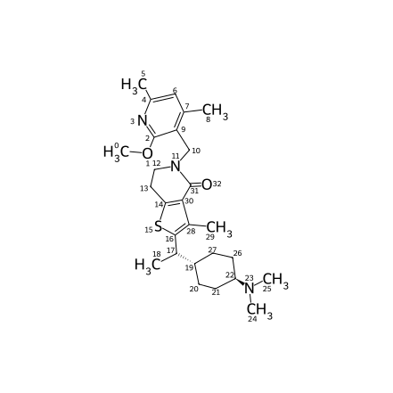 COc1nc(C)cc(C)c1CN1CCc2sc(C(C)[C@H]3CC[C@H](N(C)C)CC3)c(C)c2C1=O